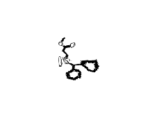 COC(=O)CC[S@+]([O-])C(c1ccccc1)c1ccccc1